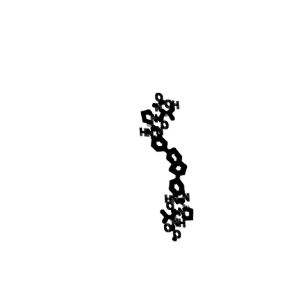 COC(=O)N[C@H](C(=O)N1CCC[C@H]1c1nc2cc(-c3ccc4ccc(-c5ccc6[nH]c([C@@H]7CCCN7C(=O)[C@H](C(C)C)N(C)C(=O)O)nc6c5)cc4c3)ccc2[nH]1)C(C)C